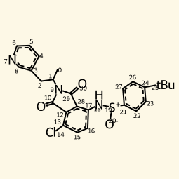 CC(Cc1cccnc1)N1C(=O)c2c(Cl)ccc(N[S+]([O-])c3ccc(C(C)(C)C)cc3)c2C1=O